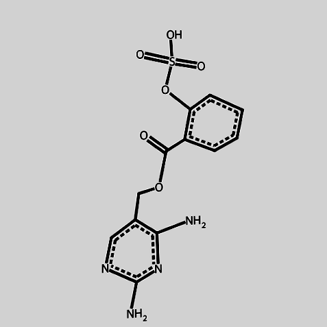 Nc1ncc(COC(=O)c2ccccc2OS(=O)(=O)O)c(N)n1